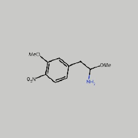 COc1cc(CC(N)OC)ccc1[N+](=O)[O-]